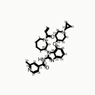 C=CC(=O)N1CCCC[C@@H](n2c(NC(=O)c3ccnc(C)c3)nc3cccc(OC4CCN(C5CC5)CC4)c32)C1